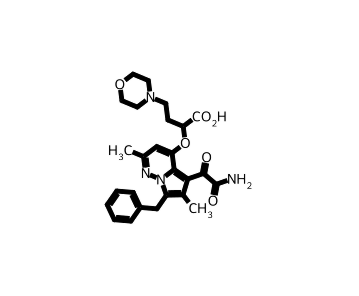 Cc1cc(OC(CCN2CCOCC2)C(=O)O)c2c(C(=O)C(N)=O)c(C)c(Cc3ccccc3)n2n1